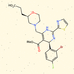 COC(=O)C1=C(CN2CCO[C@H](CCC(=O)O)C2)NC(c2nccs2)=N[C@H]1c1ccc(F)cc1Br